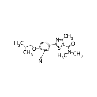 Cc1nc(-c2ccc(OCC(C)C)c(C#N)c2)sc1C(=O)N(C)C